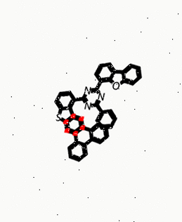 c1ccc(-c2nc(-c3cccc4c3oc3ccccc34)nc(-c3cccc4sc5ccc(-c6ccccc6-c6ccccc6-c6ccccc6)cc5c34)n2)cc1